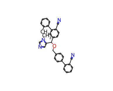 Cc1ccccc1-c1cc(C(OCc2ccc(-c3ccccc3C#N)cc2)c2cncn2C)ccc1C#N